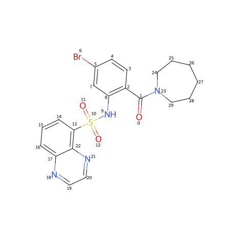 O=C(c1ccc(Br)cc1NS(=O)(=O)c1cccc2nccnc12)N1CCCCCC1